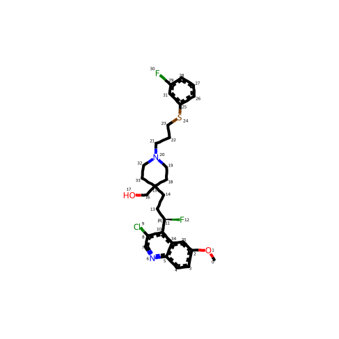 COc1ccc2ncc(Cl)c([C@H](F)CCC3(CO)CCN(CCCSc4cccc(F)c4)CC3)c2c1